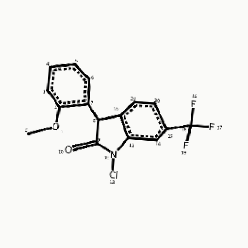 COc1ccccc1C1C(=O)N(Cl)c2cc(C(F)(F)F)ccc21